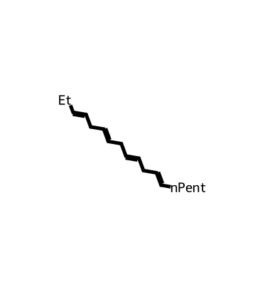 [CH2]CCCCC=CCC=CCC=CCC=CCC